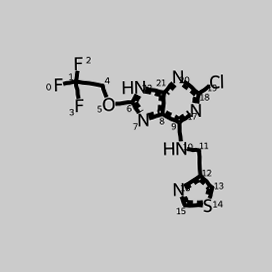 FC(F)(F)COc1nc2c(NCc3cscn3)nc(Cl)nc2[nH]1